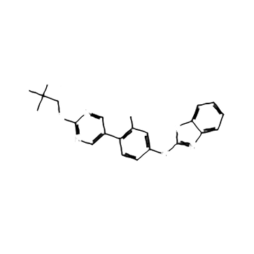 CC(C)(COc1ncc(-c2ccc(Nc3nc4ccccc4s3)cc2F)cn1)C(=O)O